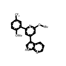 COc1ccc(C(F)(F)F)cc1-c1cc(-c2c[nH]c3ncccc23)cc(OC(C)(C)C)n1